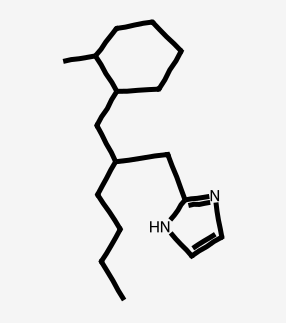 CCCCC(Cc1ncc[nH]1)CC1CCCCC1C